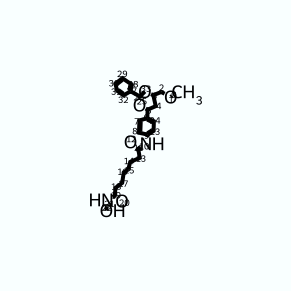 COCC1CC(c2ccc(NC(=O)CCCCCCC(=O)NO)cc2)OC(c2ccccc2)O1